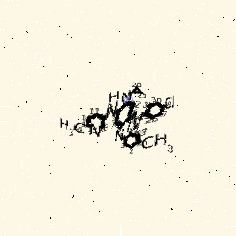 Cc1ccc2nc3cc(Nc4ccc(C)nc4)/c(=N/C4CC4)cc-3n(-c3ccc(Cl)cc3)c2c1